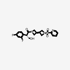 O=C([C@H](CO)c1ccc(F)cc1F)N1CC(=C2CN(S(=O)(=O)c3ccccn3)C2)C1